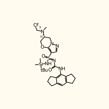 CN(CC(F)(F)F)[C@@H]1COc2c(S(=O)(=NC(=O)Nc3c4c(cc5c3CCC5)CCC4)N[Si](C)(C)C(C)(C)C)cnn2C1